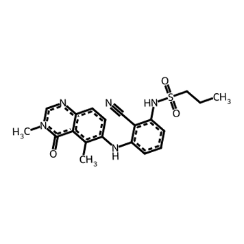 CCCS(=O)(=O)Nc1cccc(Nc2ccc3ncn(C)c(=O)c3c2C)c1C#N